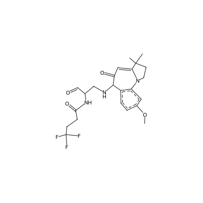 COc1ccc2c(c1)N1CCC(C)(C)C1=CC(=O)C2NCC(C=O)NC(=O)CCC(F)(F)F